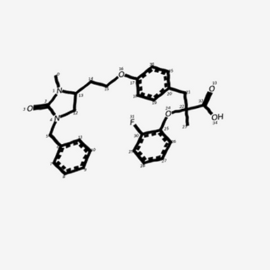 CN1C(=O)N(Cc2ccccc2)CC1CCOc1ccc(CC(C)(Oc2ccccc2F)C(=O)O)cc1